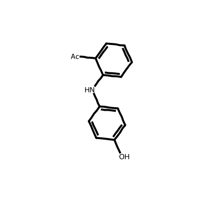 CC(=O)c1ccccc1Nc1ccc(O)cc1